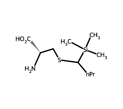 CCCC(SC[C@H](N)C(=O)O)[Si](C)(C)C